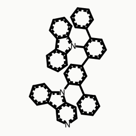 c1ccc(-c2cc(-c3cccc(-c4ccccc4)c3-n3c4ccccc4c4ccccc43)ccc2-n2c3ccccc3c3cnccc32)cc1